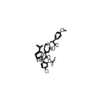 COc1ccc(C(CN2CCC(C(=O)Nc3ccc(Cl)cc3OC(F)F)(n3nccc3C(C)C)CC2)C(=O)O)cc1